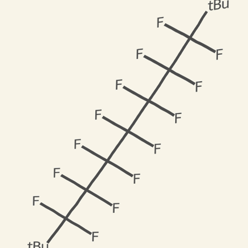 CC(C)(C)C(F)(F)C(F)(F)C(F)(F)C(F)(F)C(F)(F)C(F)(F)C(F)(F)C(C)(C)C